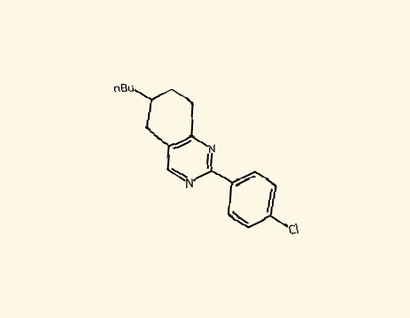 CCCCC1CCc2nc(-c3ccc(Cl)cc3)ncc2C1